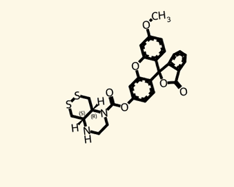 COc1ccc2c(c1)Oc1cc(OC(=O)N3CCN[C@@H]4CSSC[C@@H]43)ccc1C21OC(=O)c2ccccc21